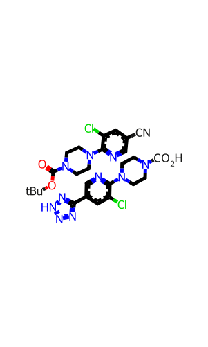 CC(C)(C)OC(=O)N1CCN(c2ncc(C#N)cc2Cl)CC1.O=C(O)N1CCN(c2ncc(-c3nn[nH]n3)cc2Cl)CC1